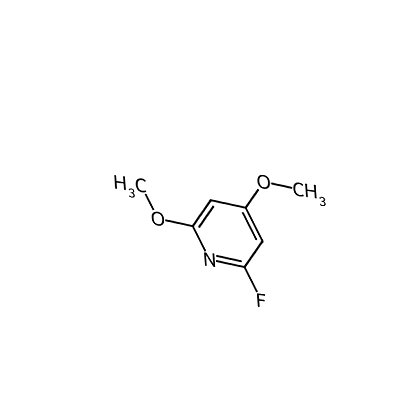 COc1cc(F)nc(OC)c1